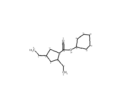 CCC1CC(CC)C(C(=O)OC2CCCCC2)C1